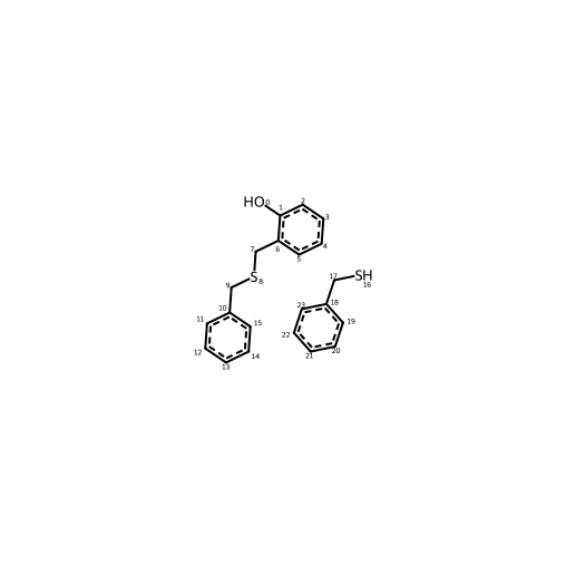 Oc1ccccc1CSCc1ccccc1.SCc1ccccc1